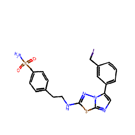 NS(=O)(=O)c1ccc(CCNc2nn3c(-c4cccc(CI)c4)cnc3s2)cc1